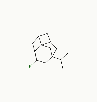 CC(C)C12CC3CC4CC(F)(C1)CC43C2